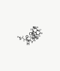 CSCCC(=O)N[C@@H]1CCN(S(=O)(=O)c2cccc3cncc(Cl)c23)C1